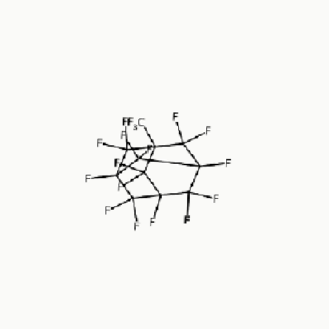 FC(F)(F)C12C(F)(F)C3(F)C(F)(F)C(F)(C(F)(F)C(F)(C3(F)F)C1(F)F)C2(F)F